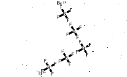 F[B-](F)(F)F.F[B-](F)(F)F.F[B-](F)(F)F.F[B-](F)(F)F.F[B-](F)(F)F.[Ba+2].[Tb+3]